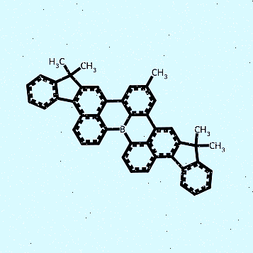 Cc1cc2c3c(c1)-c1cc4c(c5cccc(c15)B3c1cccc3c5c(cc-2c13)C(C)(C)c1ccccc1-5)-c1ccccc1C4(C)C